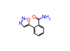 NC(=O)c1ccccc1-c1cnno1